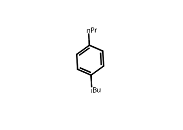 CCCc1ccc(C(C)CC)cc1